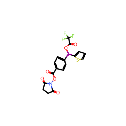 O=C(ON1C(=O)CCC1=O)c1ccc([I+](OC(=O)C(F)(F)F)c2cccs2)cc1